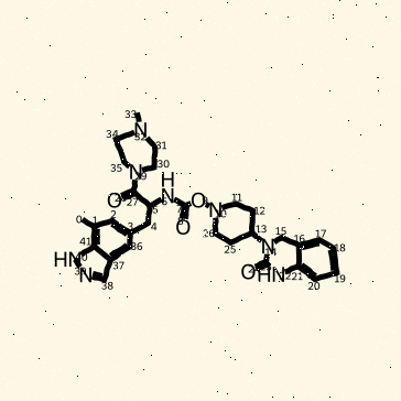 Cc1cc(CC(NC(=O)ON2CCC(N3Cc4ccccc4NC3=O)CC2)C(=O)N2CCN(C)CC2)cc2cn[nH]c12